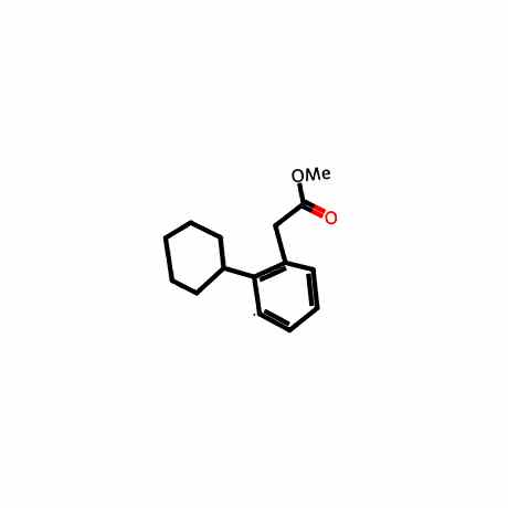 COC(=O)Cc1ccc[c]c1C1CCCCC1